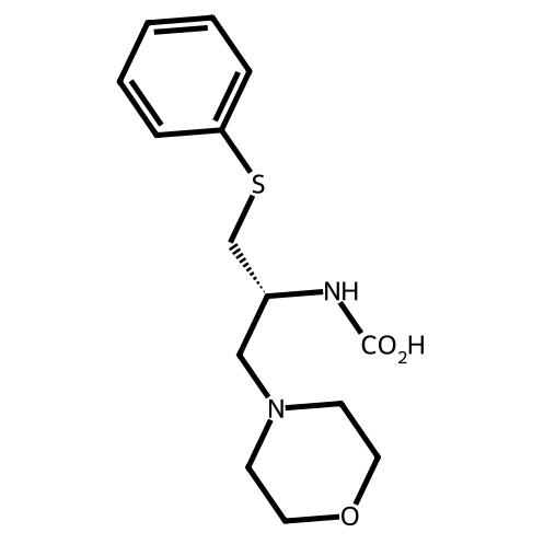 O=C(O)N[C@@H](CSc1ccccc1)CN1CCOCC1